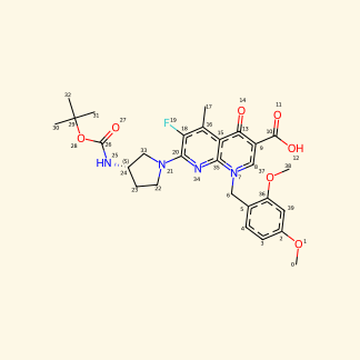 COc1ccc(Cn2cc(C(=O)O)c(=O)c3c(C)c(F)c(N4CC[C@H](NC(=O)OC(C)(C)C)C4)nc32)c(OC)c1